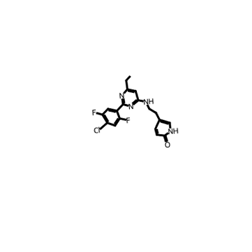 CCc1cc(NCCc2ccc(=O)[nH]c2)nc(-c2cc(F)c(Cl)cc2F)n1